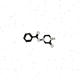 O=C1CN(OC(=O)c2ccccc2)CCN1